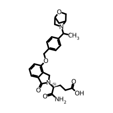 CC(c1ccc(COc2cccc3c2CN([C@@H](CCC(=O)O)C(N)=O)C3=O)cc1)N1CC2CC1CO2